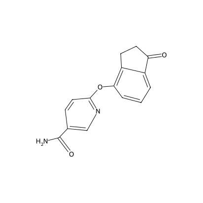 NC(=O)c1ccc(Oc2cccc3c2CCC3=O)nc1